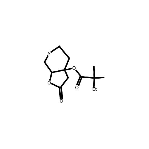 CCC(C)(C)C(=O)OC12CCSCC1OC(=O)C2